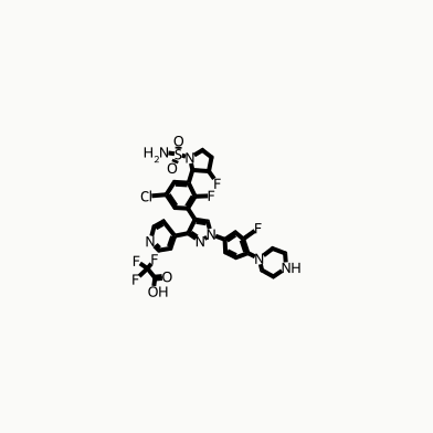 NS(=O)(=O)N1CCC(F)C1c1cc(Cl)cc(-c2cn(-c3ccc(N4CCNCC4)c(F)c3)nc2-c2ccncc2)c1F.O=C(O)C(F)(F)F